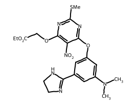 CCOC(=O)COc1nc(SC)nc(Oc2cc(C3=NCCN3)cc(N(C)C)c2)c1[N+](=O)[O-]